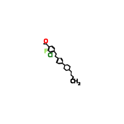 C=CCCC1CCC(c2ccc(CCc3ccc(C4CO4)c(F)c3Cl)cc2)CC1